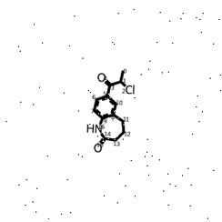 CC(Cl)C(=O)c1ccc2c(c1)CCCC(=O)N2